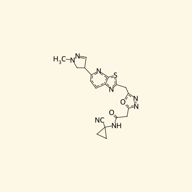 CN1CC(c2ccc3nc(Cc4nnc(CC(=O)NC5(C#N)CC5)o4)sc3n2)C=N1